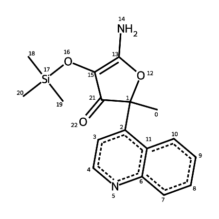 CC1(c2ccnc3ccccc23)OC(N)=C(O[Si](C)(C)C)C1=O